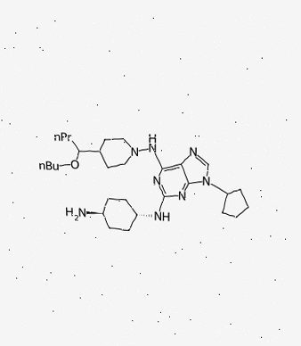 CCCCOC(CCC)C1CCN(Nc2nc(N[C@H]3CC[C@H](N)CC3)nc3c2ncn3C2CCCC2)CC1